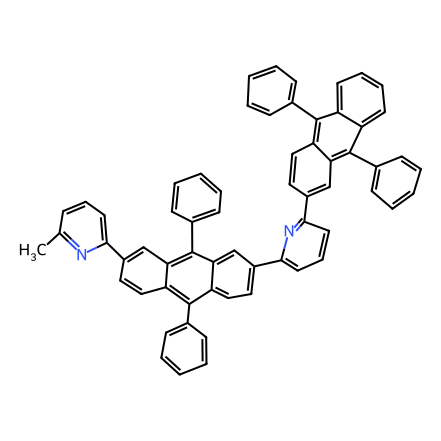 Cc1cccc(-c2ccc3c(-c4ccccc4)c4ccc(-c5cccc(-c6ccc7c(-c8ccccc8)c8ccccc8c(-c8ccccc8)c7c6)n5)cc4c(-c4ccccc4)c3c2)n1